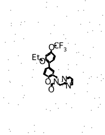 CCOc1cc(OC(F)(F)F)ccc1-c1ccc2c(c1)CN(Cc1ncccn1)C(=O)O2